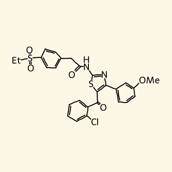 CCS(=O)(=O)c1ccc(CC(=O)Nc2nc(-c3cccc(OC)c3)c(C(=O)c3ccccc3Cl)s2)cc1